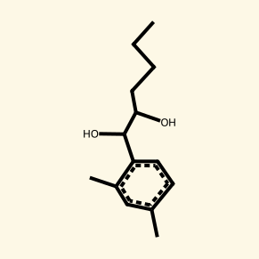 CCCCC(O)C(O)c1ccc(C)cc1C